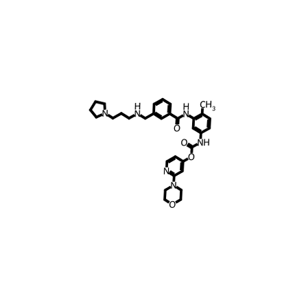 Cc1ccc(NC(=O)Oc2ccnc(N3CCOCC3)c2)cc1NC(=O)c1cccc(CNCCCN2CCCC2)c1